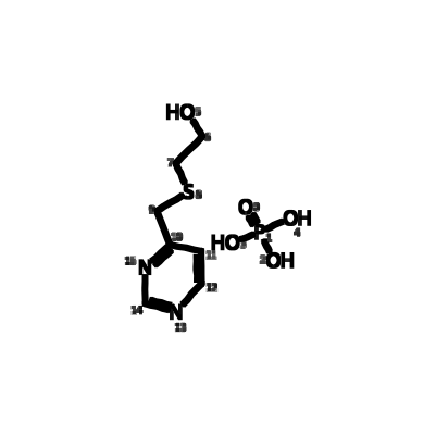 O=P(O)(O)O.OCCSCc1ccncn1